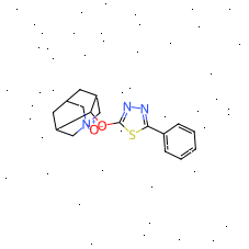 [O-][N+]12CC3CC(C1)C(Oc1nnc(-c4ccccc4)s1)C(C3)C2